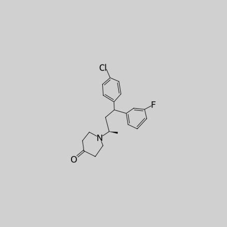 C[C@H](CC(c1ccc(Cl)cc1)c1cccc(F)c1)N1CCC(=O)CC1